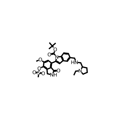 CCN1CCCC1CNCc1ccc2c(c1)cc(-c1cc(OC)c(OS(C)(=O)=O)c3c1C(=O)NC3)n2C(=O)OC(C)(C)C